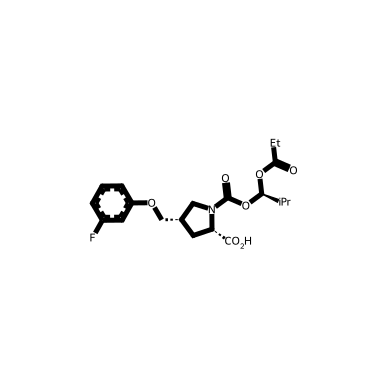 CCC(=O)O[C@H](OC(=O)N1C[C@@H](COc2cccc(F)c2)C[C@H]1C(=O)O)C(C)C